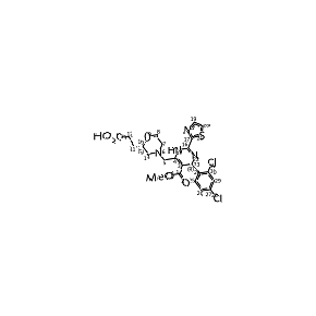 COC(=O)C1=C(CN2CCO[C@@H](CCC(=O)O)C2)NC(c2nccs2)=N[C@H]1c1ccc(Cl)cc1Cl